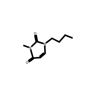 CCCCn1ccc(=O)n(C)c1=O